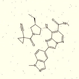 CC[C@@H]1CN(C(=O)C2(C#N)CC2)C[C@H]1Nc1c(C(N)=O)cnn2cc(-c3ccc4c(cnn4C)c3)nc12